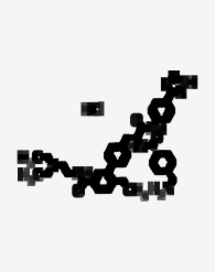 CCc1ccc(C(=O)NCCN(CC)CC)cc1-c1ccc(C[C@H](NC(=O)[C@H]2CC[C@H](CN)CC2)C(=O)Nc2ccc(-c3nn[nH]n3)cc2)cc1.Cl